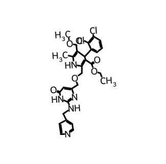 CCOC(=O)C1=C(COCc2cc(=O)[nH]c(NCc3ccncc3)n2)NC(C)=C(C(=O)OC)C1c1cccc(Cl)c1Cl